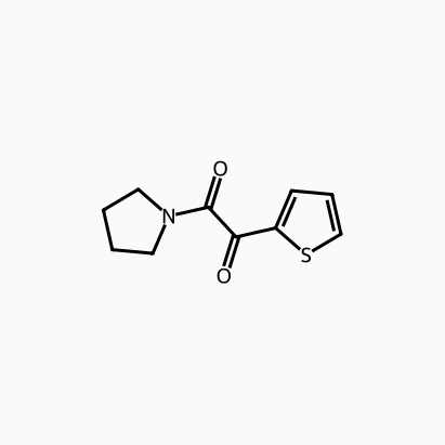 O=C(C(=O)N1CCCC1)c1cccs1